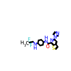 CC(F)(F)CNC1CCC(NC(=O)c2nc(-n3ccnc3)cc3ccsc23)CC1